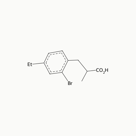 CCc1ccc(CC(C)C(=O)O)c(Br)c1